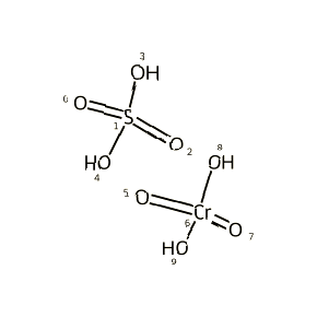 O=S(=O)(O)O.[O]=[Cr](=[O])([OH])[OH]